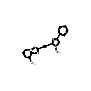 Cc1cccn2nc(C#Cc3nc(-c4ccccc4)cn3C)nc12